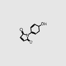 O=C1C=CC(=O)N1C1=CCC(O)C=C1